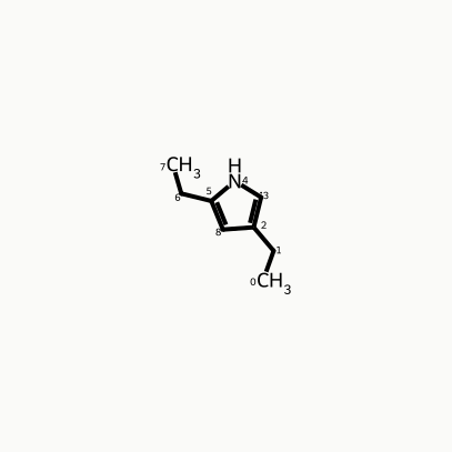 CCc1[c][nH]c(CC)c1